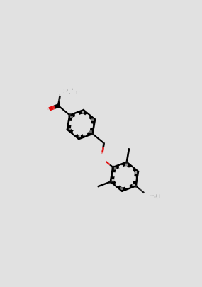 COC(=O)c1ccc(COc2c(C)cc(C(C)(C)C)cc2C)cc1